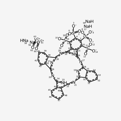 O=S(=O)([O-])c1c(S(=O)(=O)[O-])c(S(=O)(=O)[O-])c2c3nc4nc(nc5[nH]c(nc6nc(nc([nH]3)c2c1S(=O)(=O)[O-])-c1ccccc1-6)c1ccccc51)-c1ccccc1-4.[NaH].[NaH].[NaH].[NaH].[O]=[V+2].[O]=[V+2]